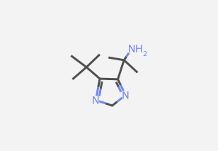 CC(C)(C)C1=NCN=C1C(C)(C)N